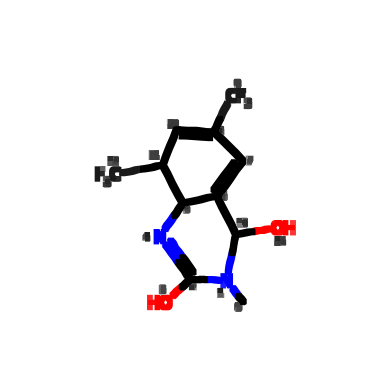 CN1C(O)=NC2C(=CC(C(F)(F)F)=CC2C(F)(F)F)C1O